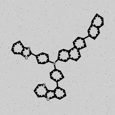 c1ccc2cc(-c3ccc4c(ccc5cc(N(c6ccc(-c7nc8ccccc8o7)cc6)c6ccc(-c7cccc8oc9cccnc9c78)cc6)ccc54)c3)ccc2c1